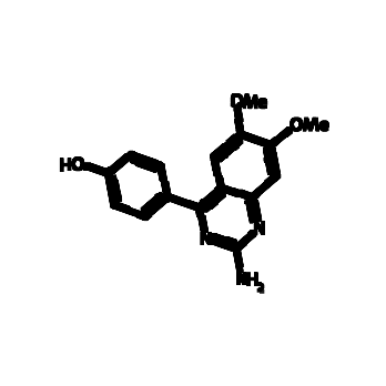 COc1cc2nc(N)nc(-c3ccc(O)cc3)c2cc1OC